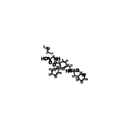 CSCC[C@H](NC(=O)c1ccc(CNC(=O)Cc2cccnc2)cc1-c1ccccc1)C(=O)O